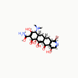 CN(C)[C@@H]1C(O)=C(C(N)=O)C(=O)[C@@]2(O)C(O)=C3C(=O)c4c(O)cnc(Br)c4C[C@H]3C[C@@H]12